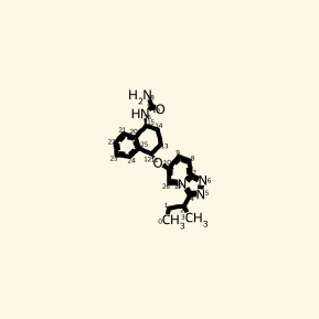 CCC(C)c1nnc2ccc(O[C@@H]3CC[C@H](NC(N)=O)c4ccccc43)cn12